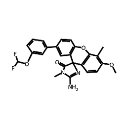 COc1ccc2c(c1C)Oc1ccc(-c3cccc(OC(F)F)c3)cc1C21N=C(N)N(C)C1=O